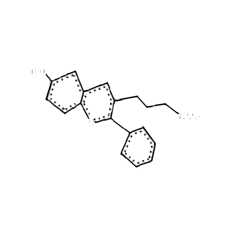 CNCCCc1cc2cc(C(C)(C)C)ccc2nc1-c1ccccc1